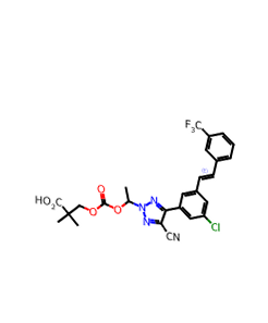 CC(OC(=O)OCC(C)(C)C(=O)O)n1nc(C#N)c(-c2cc(Cl)cc(/C=C/c3cccc(C(F)(F)F)c3)c2)n1